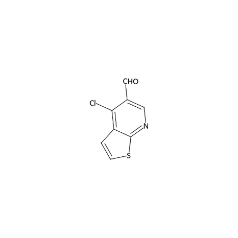 O=Cc1cnc2sccc2c1Cl